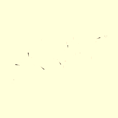 CC[C@@H](C)C[C@H]1O[C@]2(CC[C@@H]3C(=C(C)C2)C[C@H]2[C@H]3CC[C@@H]3C[C@H](OC)CC[C@@]32C)[C@H](C)[C@@H]1C